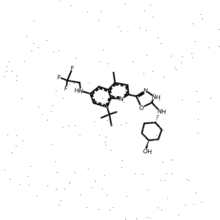 Cc1cc(C2=NNC(N[C@H]3CC[C@H](O)CC3)O2)nc2c(C(C)(C)C)cc(NCC(F)(F)F)cc12